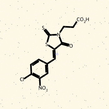 O=C(O)CCN1C(=O)/C(=C/c2ccc(Cl)c([N+](=O)[O-])c2)SC1=S